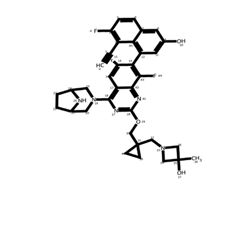 C#Cc1c(F)ccc2cc(O)cc(-c3c(C(C)C)cc4c(N5CC6CCC(C5)N6)nc(OCC5(CN6CC(C)(O)C6)CC5)nc4c3F)c12